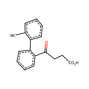 N#Cc1ccccc1-c1ccccc1C(=O)CCC(=O)O